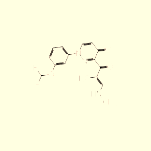 CN/C=C(\C)C(=O)c1nn(-c2cccc(OC(F)F)c2)ccc1=O